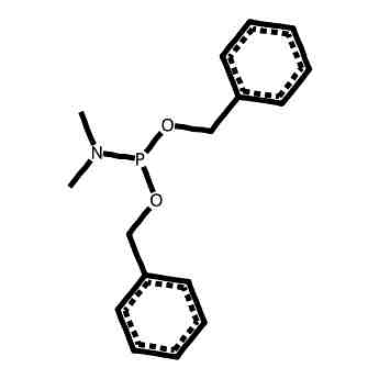 CN(C)P(OCc1ccccc1)OCc1ccccc1